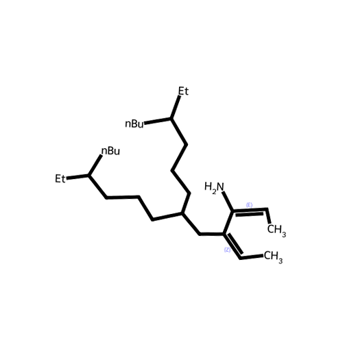 C/C=C(CC(CCCC(CC)CCCC)CCCC(CC)CCCC)\C(N)=C/C